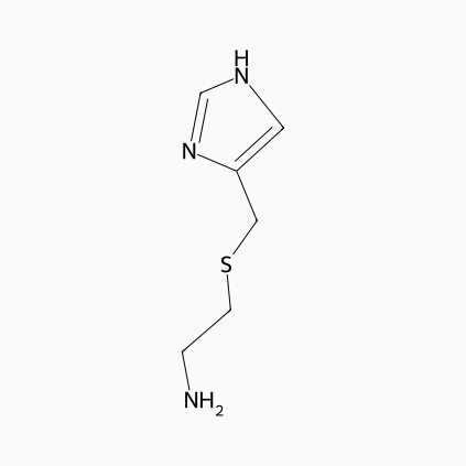 NCCSCc1c[nH]cn1